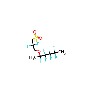 CC(F)(F)C(F)(F)C(F)(F)C(C)(F)OCC(F)(F)C[SH](=O)=O